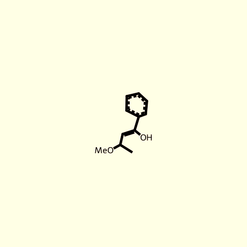 COC(C)C=C(O)c1ccccc1